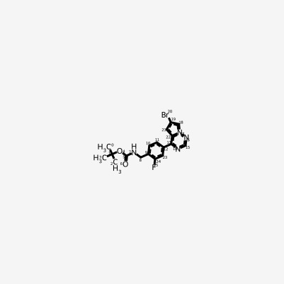 CC(C)(C)OC(=O)NCc1ccc(-c2ncnn3cc(Br)cc23)cc1F